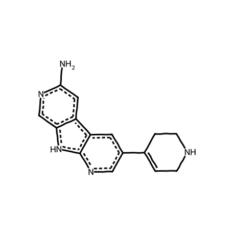 Nc1cc2c(cn1)[nH]c1ncc(C3=CCNCC3)cc12